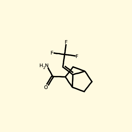 NC(=O)C1CC2CCC1C2=CC(F)(F)F